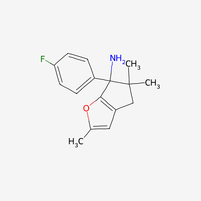 Cc1cc2c(o1)C(N)(c1ccc(F)cc1)C(C)(C)C2